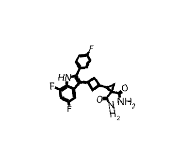 NC(=O)C1(C(N)=O)CC1C1CC(c2c(-c3ccc(F)cc3)[nH]c3c(F)cc(F)cc23)C1